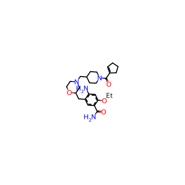 CCOc1cc(N)c(CC2CN(CC3CCN(C(=O)C4=CCCC4)CC3)CCO2)cc1C(N)=O